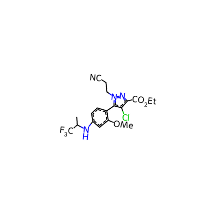 CCOC(=O)c1nn(CCC#N)c(-c2ccc(NC(C)C(F)(F)F)cc2OC)c1Cl